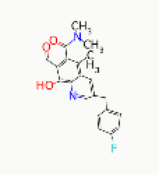 Cc1c(C(=O)N(C)C)c(C=O)c(O)c2ncc(Cc3ccc(F)cc3)cc12